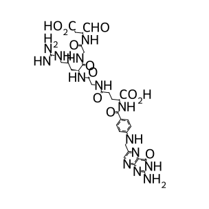 N=C(N)NCCC[C@H](NC(=O)CNC(=O)CC[C@H](NC(=O)c1ccc(NCc2cnc3nc(N)[nH]c(=O)c3n2)cc1)C(=O)O)C(=O)NCC(=O)NC(C=O)CC(=O)O